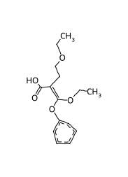 CCOCCC(C(=O)O)=C(OCC)Oc1ccccc1